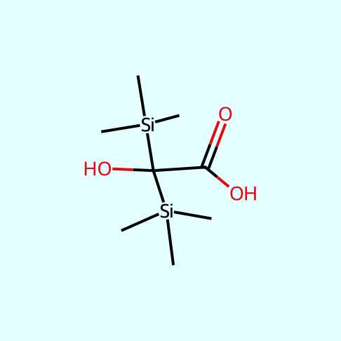 C[Si](C)(C)C(O)(C(=O)O)[Si](C)(C)C